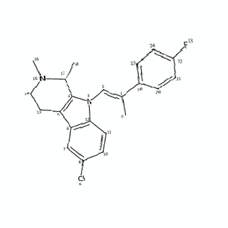 C/C(=C\n1c2c(c3cc(Cl)ccc31)CCN(C)C2C)c1ccc(F)cc1